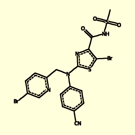 CS(=O)(=O)NC(=O)c1nc(N(Cc2ccc(Br)cn2)c2ccc(C#N)cc2)sc1Br